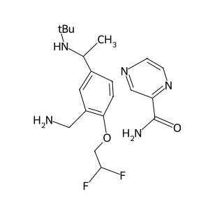 CC(NC(C)(C)C)c1ccc(OCC(F)F)c(CN)c1.NC(=O)c1cnccn1